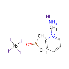 CS(C)=O.C[n+]1ccccc1.I.N.[I][Pb]([I])([I])[I]